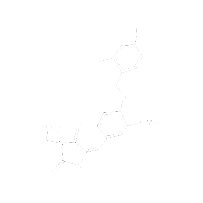 COc1cc(C=C2SC(=S)N(CC(=O)O)C2=O)ccc1OCc1ccc(F)cc1Cl